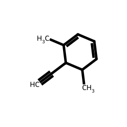 C#C[C]1C(C)=CC=CC1C